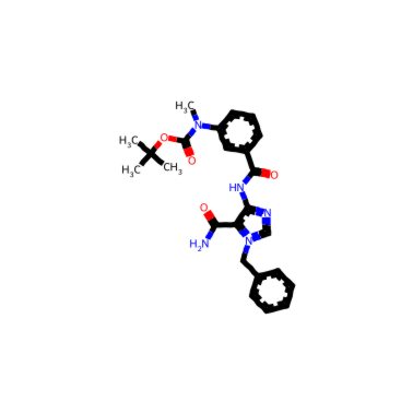 CN(C(=O)OC(C)(C)C)c1cccc(C(=O)Nc2ncn(Cc3ccccc3)c2C(N)=O)c1